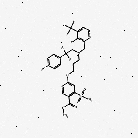 COC(=O)c1ccc(OCCCN(Cc2cccc(C(F)(F)F)c2F)CC(F)(F)c2ccc(F)cc2)cc1S(C)(=O)=O